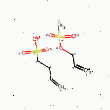 C=CCCS(=O)(=O)O.C=CCOS(C)(=O)=O